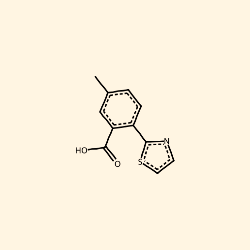 Cc1ccc(-c2nccs2)c(C(=O)O)c1